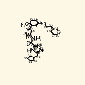 O=C(Nc1cc(-c2cc(OCCC3CCCOC3)ccc2C(F)(F)F)ncn1)c1nnc(CC2CCCC2)[nH]1